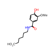 COc1cc(C(=O)NCCCCCC(=O)O)ccc1O